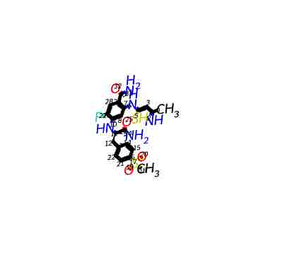 CC(=N)/C=C(\S)Nc1cc(N[C@H](Cc2ccc(S(C)(=O)=O)cc2)C(N)=O)c(F)cc1C(N)=O